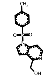 Cc1ccc(S(=O)(=O)n2ccc3c(CO)nccc32)cc1